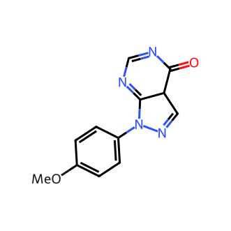 COc1ccc(N2N=CC3C(=O)N=CN=C32)cc1